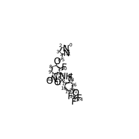 Cn1ccc(COc2ccc([N+](=O)[O-])c(NCc3ccc(OC(F)(F)F)cc3F)c2F)n1